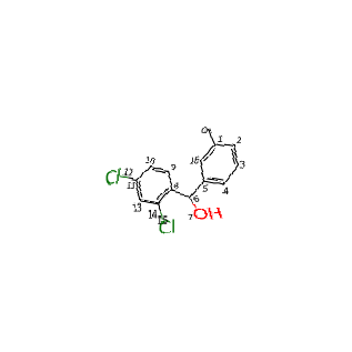 Cc1cccc(C(O)c2ccc(Cl)cc2Cl)c1